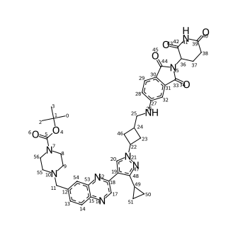 CC(C)(C)OC(=O)N1CCN(Cc2ccc3ncc(-c4cn(C5CC(CNc6ccc7c(c6)C(=O)N(C6CCC(=O)NC6=O)C7=O)C5)nc4C4CC4)nc3c2)CC1